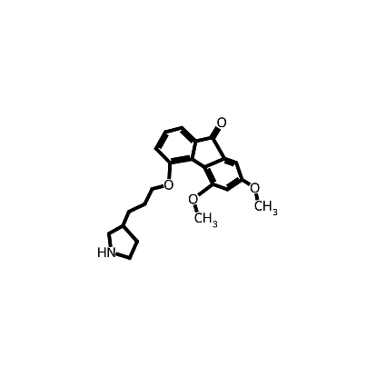 COc1cc(OC)c2c(c1)C(=O)c1cccc(OCCCC3CCNC3)c1-2